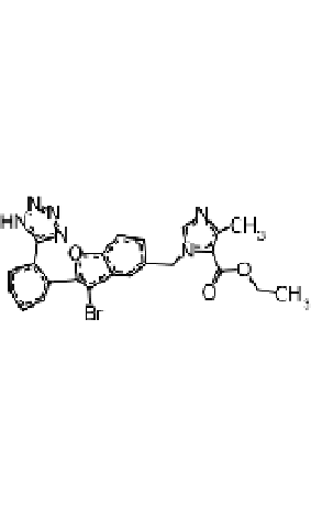 CCOC(=O)c1c(C)ncn1Cc1ccc2oc(-c3ccccc3-c3nnn[nH]3)c(Br)c2c1